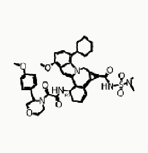 COc1ccc(C2COCCN2C(=O)C(=O)N[C@@H]2CC=CC3=C4C(=C4C(=O)NS(=O)(=O)N(C)C)Cn4c(cc5c(OC)ccc(C6CCCCC6)c54)C32)cc1